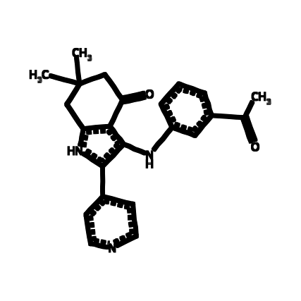 CC(=O)c1cccc(Nc2c(-c3ccncc3)[nH]c3c2C(=O)CC(C)(C)C3)c1